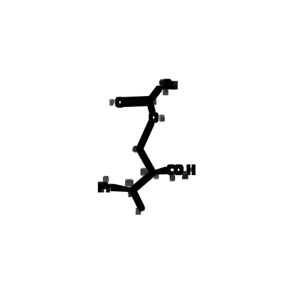 CC(C)[C@H](C)[C@@H](COC(=O)C(C)(C)C)C(=O)O